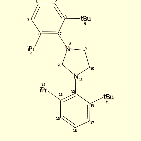 CC(C)c1cccc(C(C)(C)C)c1N1CCN(c2c(C(C)C)cccc2C(C)(C)C)C1